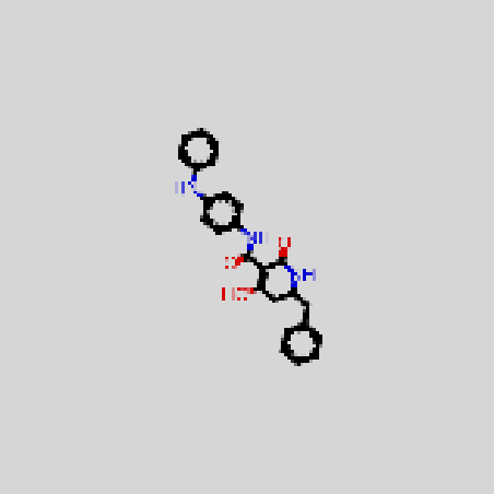 O=C(Nc1ccc(Nc2ccccc2)cc1)C1=C(O)CC(Cc2ccccc2)NC1=O